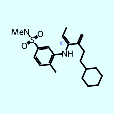 C=C(CCC1CCCCC1)/C(=C\C)Nc1cc(S(=O)(=O)NC)ccc1C